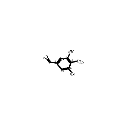 O=Cc1cc(Br)c(Cl)c(Br)c1